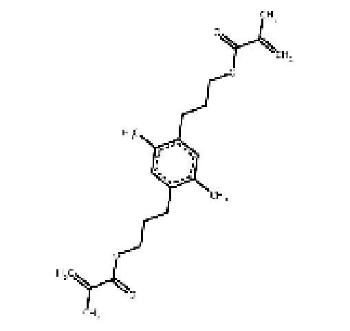 C=C(C)C(=O)OCCCc1cc(C)c(CCCOC(=O)C(=C)C)cc1C